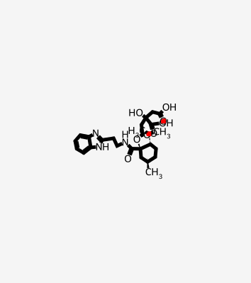 CC(C)[C@@H]1CC[C@@H](C)C[C@@]1(OC(=O)CC(O)(CC(=O)O)C(=O)O)C(=O)NCCc1nc2ccccc2[nH]1